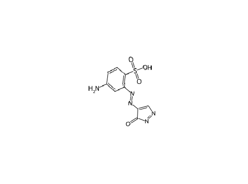 Nc1ccc(S(=O)(=O)O)c(N=NC2=CN=NC2=O)c1